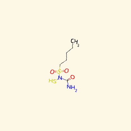 CCCCCS(=O)(=O)N(S)C(N)=O